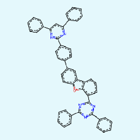 c1ccc(-c2cc(-c3ccccc3)nc(-c3ccc(-c4ccc5oc6c(-c7nc(-c8ccccc8)nc(-c8ccccc8)n7)cccc6c5c4)cc3)n2)cc1